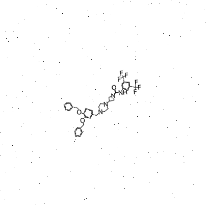 O=C(Nc1cc(C(F)(F)F)cc(C(F)(F)F)c1)N1CC(N2CCN(Cc3ccc(OCc4ccccc4)c(OCc4ccccc4)c3)CC2)C1